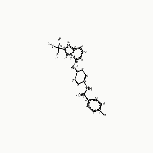 Cc1ccc(C(=O)NC2CCC(Nc3cccc4nc(C(F)(F)F)cn34)CC2)cc1